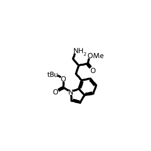 COC(=O)C(CN)Cc1cccc2ccn(C(=O)OC(C)(C)C)c12